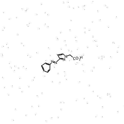 O=C(O)Cn1ccc(/N=N/c2ccccc2)n1